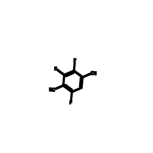 N#Cc1cc(F)c(C#N)c(F)c1F